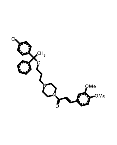 COc1ccc(C=CC(=O)N2CCN(CCCOC(C)(c3ccccc3)c3ccc(Cl)cc3)CC2)cc1OC